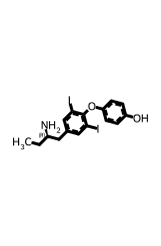 CC[C@@H](N)Cc1cc(I)c(Oc2ccc(O)cc2)c(I)c1